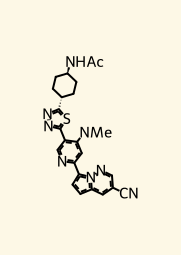 CNc1cc(-c2ccc3cc(C#N)cnn23)ncc1-c1nnc([C@H]2CC[C@H](NC(C)=O)CC2)s1